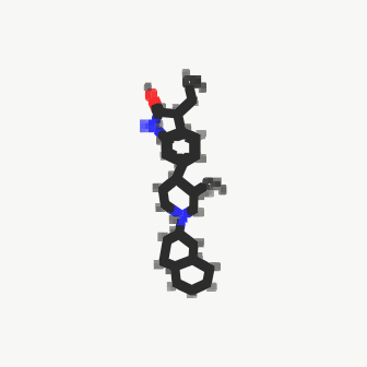 CCC1C(=O)Nc2cc(C3CCN(C4CCC5CCCCC5C4)CC3C)ccc21